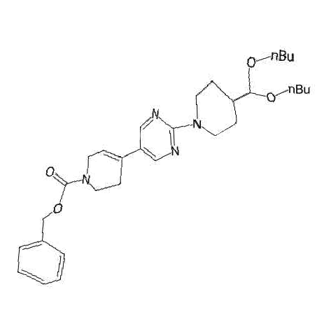 CCCCOC(OCCCC)C1CCN(c2ncc(C3=CCN(C(=O)OCc4ccccc4)CC3)cn2)CC1